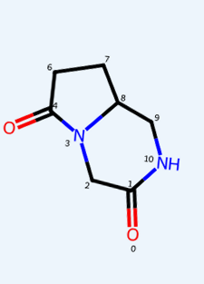 O=C1CN2C(=O)CCC2CN1